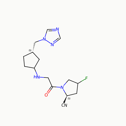 N#C[C@@H]1CC(F)CN1C(=O)CNC1CC[C@H](Cn2cncn2)C1